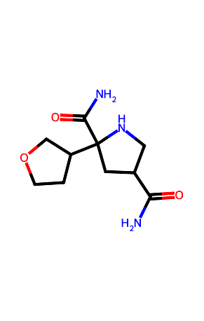 NC(=O)C1CNC(C(N)=O)(C2CCOC2)C1